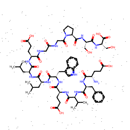 CC(C)C[C@H](NC(=O)[C@H](CC(C)C)NC(=O)[C@H](Cc1c[nH]c2ccccc12)NC(=O)[C@H](CCC(=O)O)NC(=O)[C@@H](NC(=O)[C@H](Cc1ccccc1)NC(=O)[C@@H](N)CCC(=O)O)C(C)C)C(=O)N[C@@H](CCC(=O)O)C(=O)NCC(=O)NCC(=O)N1CCC[C@H]1C(=O)N[C@@H](CO)C(=O)N[C@@H](CO)C(=O)O